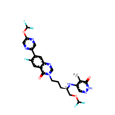 O=c1[nH]ncc(N[C@H](CCCn2cnc3cc(-c4cnc(OC(F)F)cn4)c(F)cc3c2=O)COC(F)F)c1C(F)(F)F